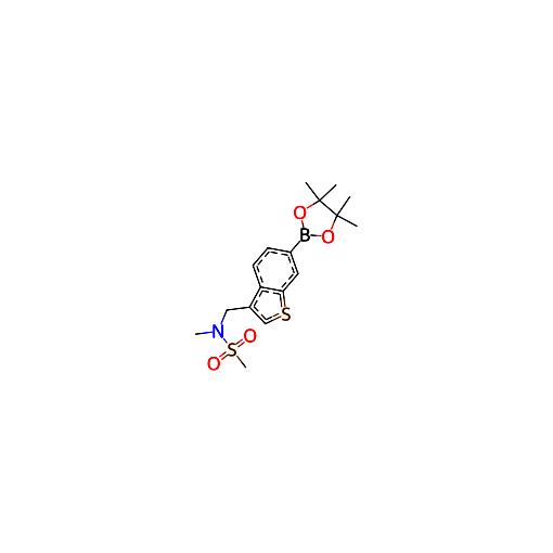 CN(Cc1csc2cc(B3OC(C)(C)C(C)(C)O3)ccc12)S(C)(=O)=O